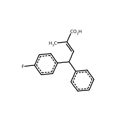 CC(=CC(c1ccccc1)c1ccc(F)cc1)C(=O)O